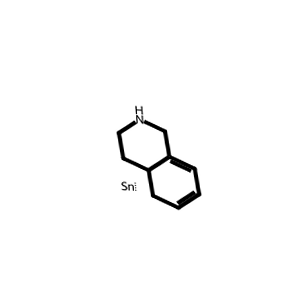 C1=CCC2CCNCC2=C1.[Sn]